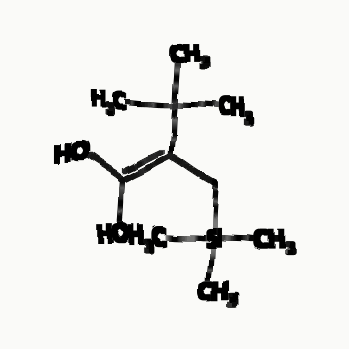 CC(C)(C)C(C[Si](C)(C)C)=C(O)O